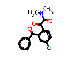 CN(C)C(=O)C(=O)c1ccc(Cl)cc1C(=O)c1ccccc1